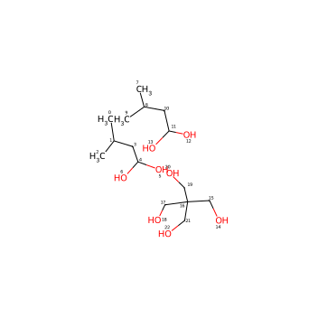 CC(C)CC(O)O.CC(C)CC(O)O.OCC(CO)(CO)CO